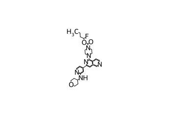 CCCC(F)OC(=O)N1CCN(c2nc(-c3ccnc(NC4CCOCC4)c3)cc3cnccc23)CC1